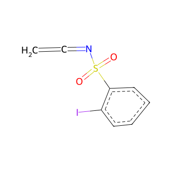 C=C=NS(=O)(=O)c1ccccc1I